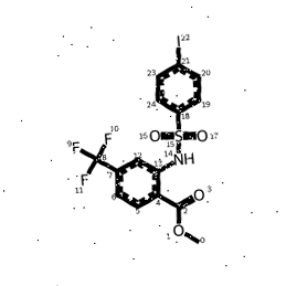 COC(=O)c1ccc(C(F)(F)F)cc1NS(=O)(=O)c1ccc(I)cc1